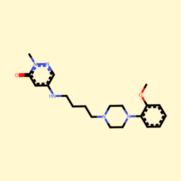 COc1ccccc1N1CCN(CCCCNc2cnn(C)c(=O)c2)CC1